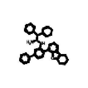 NN(Nc1cc(-c2ccccc2)ccc1-c1cccc2c3c(oc12)C=CCC3)C(C1=CCCC=C1)c1ccccc1